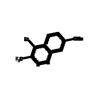 CCc1c(C(F)(F)F)nnc2cc(OC)ccc12